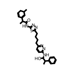 CC1C=C(C(C)C(=O)Nc2nnc(CCCCc3ccc(NC(O)C(C)c4ccccc4)nn3)s2)C=CC1